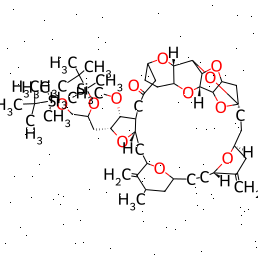 C=C1C(C)CC2CC[C@@H]3O[C@@H](CC[C@@]45CC6OC7C(O4)[C@H]4OC(CCC4O[C@H]7C6O5)CC(=O)CC4[C@H](CC1O2)O[C@H](CC(CO[Si](C)(C)C(C)(C)C)O[Si](C)(C)C(C)(C)C)[C@@H]4OC)CC3=C